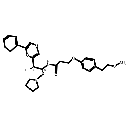 COCCc1ccc(OCCC(=O)N[C@H](CN2CCCC2)[C@@H](O)C2=COC=C(C3=CC=CCC3)O2)cc1